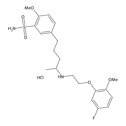 COc1ccc(F)cc1OCCNC(C)CCCc1ccc(OC)c(S(N)(=O)=O)c1.Cl